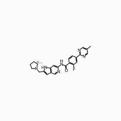 Cc1cnc(-c2ccc(C(=O)Nc3cc4[nH]c(CN5CCC[C@@H]5C)cc4cn3)c(F)c2)nc1